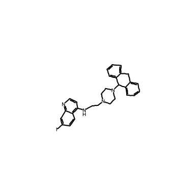 Ic1ccc2c(NCCN3CCN(C4c5ccccc5Cc5ccccc54)CC3)ccnc2c1